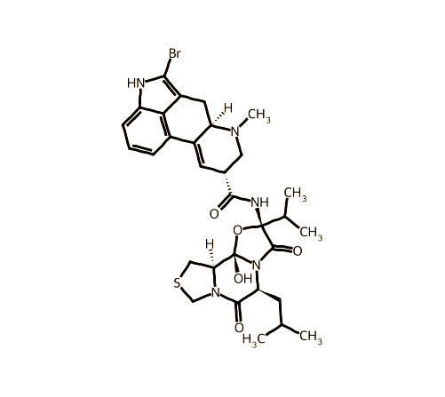 CC(C)C[C@H]1C(=O)N2CSC[C@H]2[C@]2(O)O[C@](NC(=O)[C@@H]3C=C4c5cccc6[nH]c(Br)c(c56)C[C@H]4N(C)C3)(C(C)C)C(=O)N12